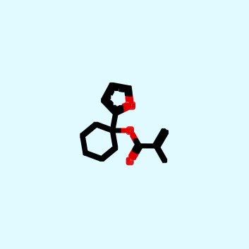 C=C(C)C(=O)OC1(c2ccco2)CCCCC1